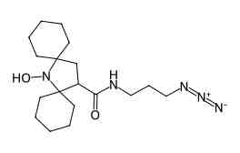 [N-]=[N+]=NCCCNC(=O)C1CC2(CCCCC2)N(O)C12CCCCC2